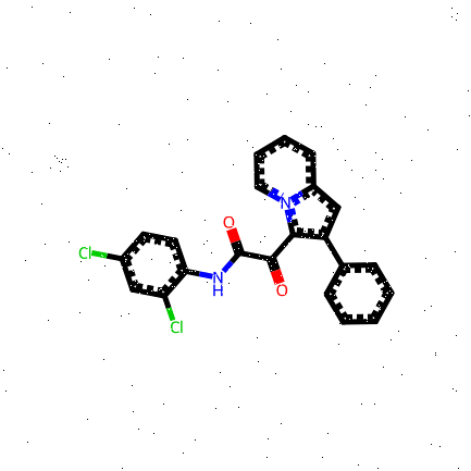 O=C(Nc1ccc(Cl)cc1Cl)C(=O)c1c(-c2ccccc2)cc2ccccn12